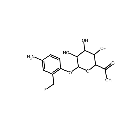 Nc1ccc(OC2OC(C(=O)O)C(O)C(O)C2O)c(CF)c1